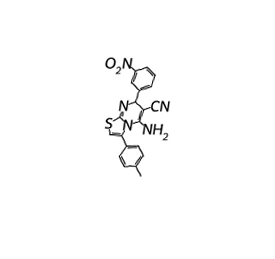 Cc1ccc(C2=CSC3=NC(c4cccc([N+](=O)[O-])c4)C(C#N)=C(N)N23)cc1